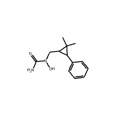 CC1(C)C(CN(O)C(N)=O)C1c1ccccc1